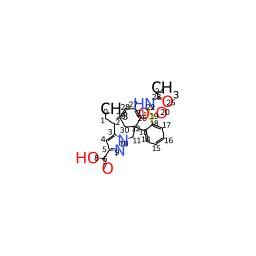 CCCc1cc(C(=O)O)nn1CC1(c2ccccc2S(=O)(=O)NC(C)=O)C=CC=CC1